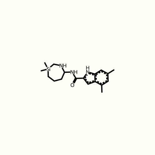 Cc1cc(C)c2cc(C(=O)NC3CCC[Si](C)(C)CN3)[nH]c2c1